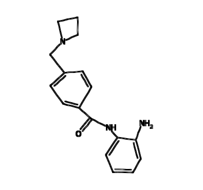 Nc1ccccc1NC(=O)c1ccc(CN2CCC2)cc1